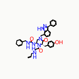 C=CCNCC(=O)N1[C@@H](NC(=O)NCC2=CCCC=C2)CN(Cc2cccc3c(-c4ccccc4)n[nH]c23)C(=O)[C@@H]1Cc1ccc(O)cc1